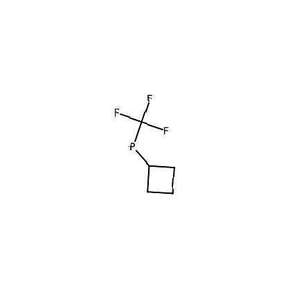 FC(F)(F)[P]C1CCC1